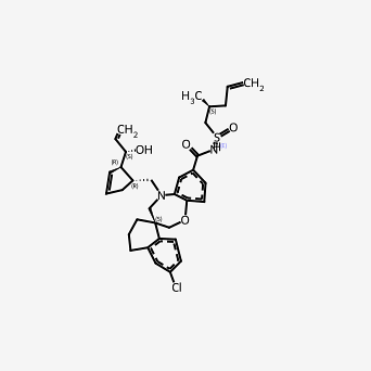 C=CC[C@H](C)C/[SH](=O)=N\C(=O)c1ccc2c(c1)N(C[C@@H]1CC=C[C@H]1[C@@H](O)C=C)C[C@@]1(CCCc3cc(Cl)ccc31)CO2